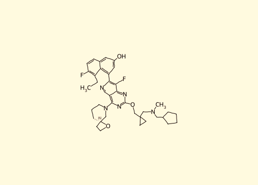 CCc1c(F)ccc2cc(O)cc(-c3ncc4c(N5CCC[C@]6(CCO6)C5)nc(OCC5(CN(C)CC6CCCC6)CC5)nc4c3F)c12